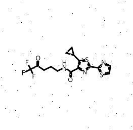 O=C(NCCCC(=O)C(F)(F)F)c1nc(-c2nccs2)sc1C1CC1